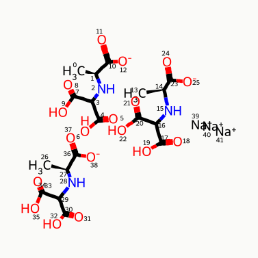 C[C@H](NC(C(=O)O)C(=O)O)C(=O)[O-].C[C@H](NC(C(=O)O)C(=O)O)C(=O)[O-].C[C@H](NC(C(=O)O)C(=O)O)C(=O)[O-].[Na+].[Na+].[Na+]